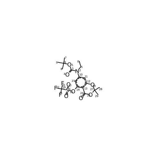 CCN(C(=O)OC(C)(C)C)c1cc2c(c(OS(=O)(=O)C(F)(F)F)c1)C(=O)OC(C)(C)O2